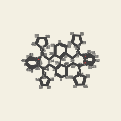 c1cc(CP(n2cccc2)n2cccc2)c(-c2c(CP(n3cccc3)n3cccc3)cccc2CP(n2cccc2)n2cccc2)c(CP(n2cccc2)n2cccc2)c1